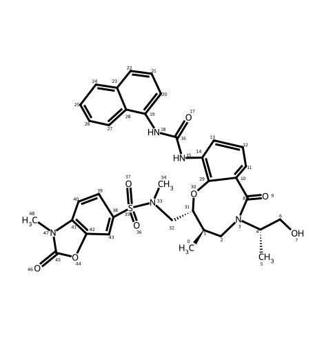 C[C@@H]1CN([C@@H](C)CO)C(=O)c2cccc(NC(=O)Nc3cccc4ccccc34)c2O[C@H]1CN(C)S(=O)(=O)c1ccc2c(c1)oc(=O)n2C